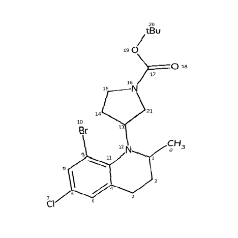 CC1CCc2cc(Cl)cc(Br)c2N1C1CCN(C(=O)OC(C)(C)C)C1